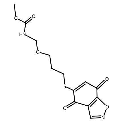 COC(=O)NCOCCCSC1=CC(=O)c2oncc2C1=O